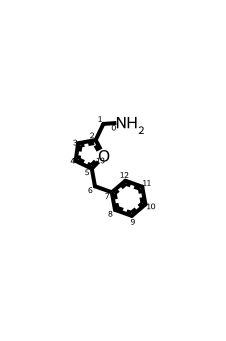 NCc1ccc(Cc2ccccc2)o1